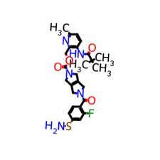 Cc1ccc(NC(=O)C(C)(C)C)c(COC(=O)N2CC3=C(C2)CN(C(=O)c2ccc(SN)cc2F)C3)n1